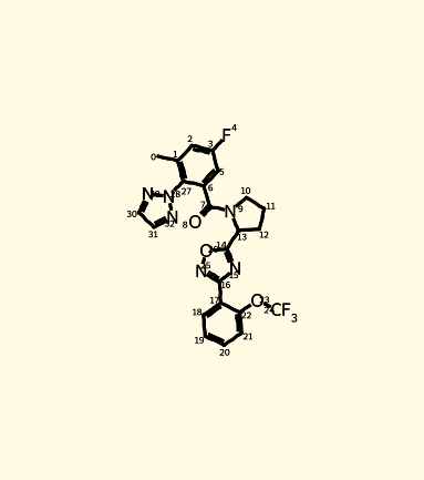 Cc1cc(F)cc(C(=O)N2CCCC2c2nc(-c3ccccc3OC(F)(F)F)no2)c1-n1nccn1